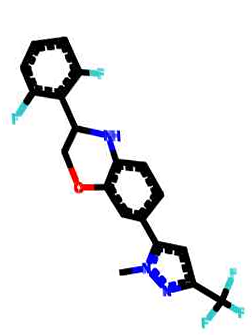 Cn1nc(C(F)(F)F)cc1-c1ccc2c(c1)OCC(c1c(F)cccc1F)N2